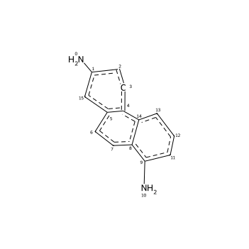 Nc1ccc2c(ccc3c(N)cccc32)c1